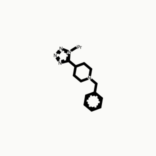 CC(C)n1nnnc1C1CCN(Cc2ccccc2)CC1